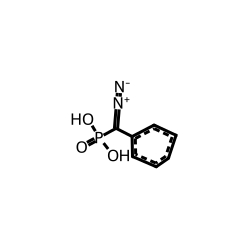 [N-]=[N+]=C(c1ccccc1)P(=O)(O)O